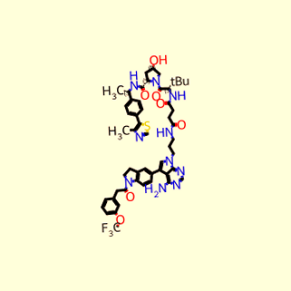 Cc1ncsc1-c1ccc([C@H](C)NC(=O)[C@@H]2C[C@@H](O)CN2C(=O)[C@@H](NC(=O)CCC(=O)NCCCn2cc(-c3ccc4c(c3)CCN4C(=O)Cc3cccc(OC(F)(F)F)c3)c3c(N)ncnc32)C(C)(C)C)cc1